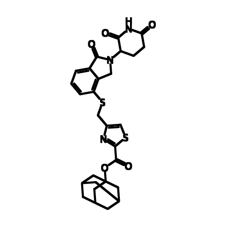 O=C1CCC(N2Cc3c(SCc4csc(C(=O)OC56CC7CC(CC(C7)C5)C6)n4)cccc3C2=O)C(=O)N1